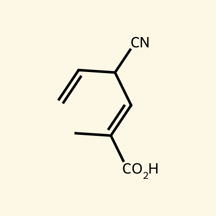 C=CC(C#N)C=C(C)C(=O)O